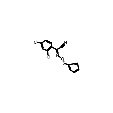 N#CC(=NOSc1ccccc1)c1ccc(Cl)cc1Cl